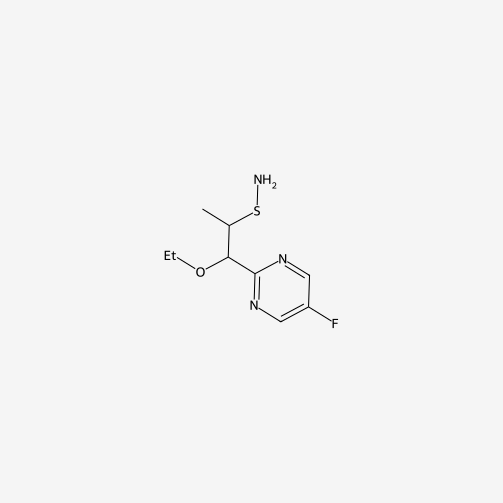 CCOC(c1ncc(F)cn1)C(C)SN